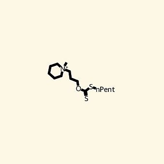 CCCCCSC(=S)OCCC[N+]1(C)CCCCC1